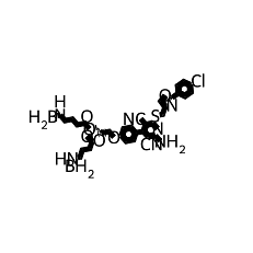 BNCCCC(=O)OC[C@H](COc1ccc(-c2c(C#N)c(N)nc(SCc3coc(-c4ccc(Cl)cc4)n3)c2C#N)cc1)OC(=O)CCCNB